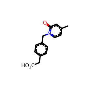 Cc1ccn(Cc2ccc(CC(=O)O)cc2)c(=O)c1